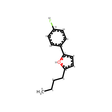 CC[CH]Cc1ccc(-c2ccc(F)cc2)o1